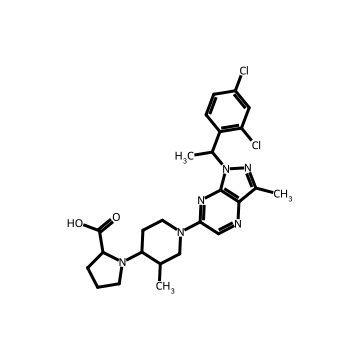 Cc1nn(C(C)c2ccc(Cl)cc2Cl)c2nc(N3CCC(N4CCCC4C(=O)O)C(C)C3)cnc12